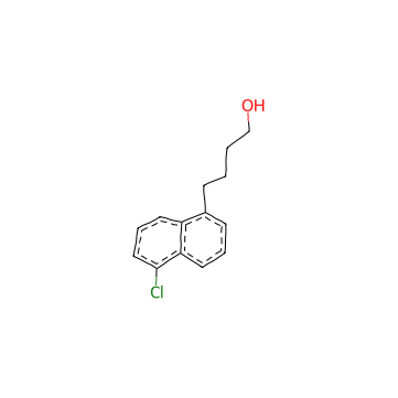 OCCCCc1cccc2c(Cl)cccc12